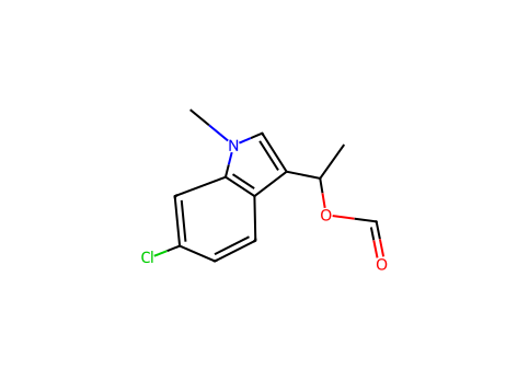 CC(OC=O)c1cn(C)c2cc(Cl)ccc12